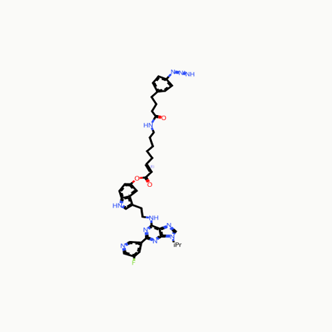 CC(C)n1cnc2c(NCCc3c[nH]c4ccc(OC(=O)/C=C/CCCCCNC(=O)CCCc5ccc(N=[N+]=N)cc5)cc34)nc(-c3cncc(F)c3)nc21